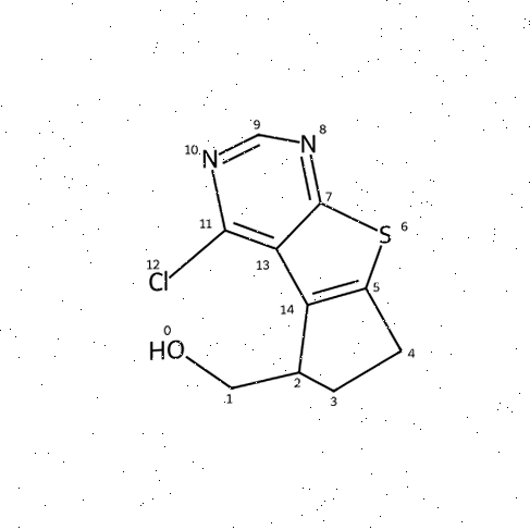 OCC1CCc2sc3ncnc(Cl)c3c21